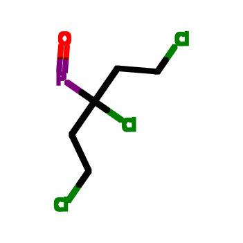 O=PC(Cl)(CCCl)CCCl